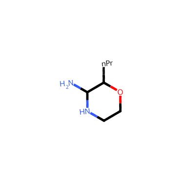 CCCC1OCCNC1N